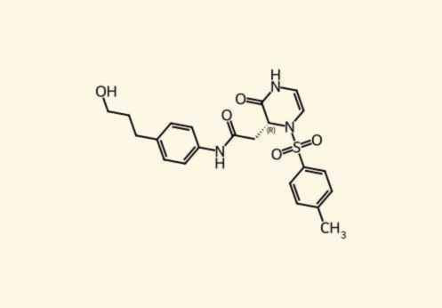 Cc1ccc(S(=O)(=O)N2C=CNC(=O)[C@H]2CC(=O)Nc2ccc(CCCO)cc2)cc1